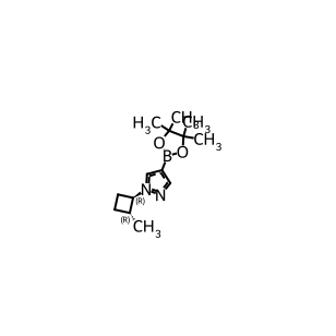 C[C@@H]1CC[C@H]1n1cc(B2OC(C)(C)C(C)(C)O2)cn1